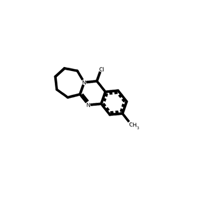 Cc1ccc2c(c1)N=C1CCCCCN1C2Cl